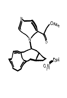 COC(=O)c1cncn1C1c2ccccc2C2CC21.O=[N+]([O-])O